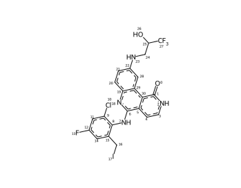 O=c1[nH]ccc2c(Nc3c(Cl)cc(F)cc3CI)nc3ccc(NCC(O)C(F)(F)F)cc3c12